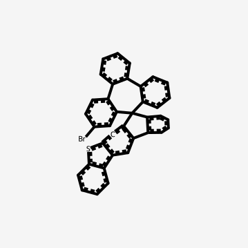 Brc1ccc2c(c1)C1(c3ccccc3-c3ccccc3-2)c2ccccc2-c2cc3c(cc21)sc1ccccc13